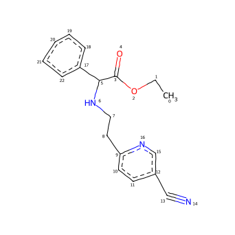 CCOC(=O)C(NCCc1ccc(C#N)cn1)c1ccccc1